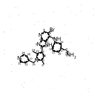 Cc1cc(-c2nc3ncc(Br)c(Nc4cccc(SN)c4)c3[nH]2)c(C)n1Cc1ccncc1